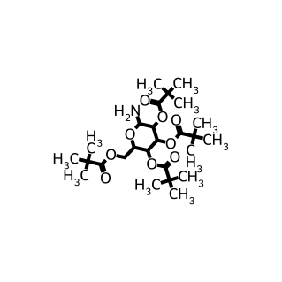 CC(C)(C)C(=O)OCC1OC(N)C(OC(=O)C(C)(C)C)C(OC(=O)C(C)(C)C)C1OC(=O)C(C)(C)C